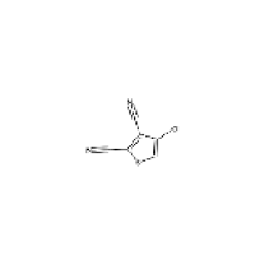 N#Cc1scc(Cl)c1C#N